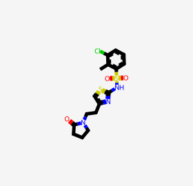 Cc1c(Cl)cccc1S(=O)(=O)Nc1nc(CCN2CCCC2=O)cs1